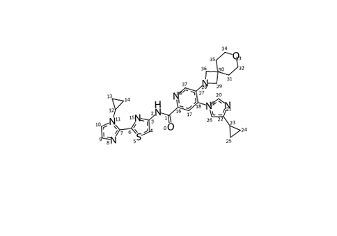 O=C(Nc1csc(-c2nccn2C2CC2)n1)c1cc(-n2cnc(C3CC3)c2)c(N2CC3(CCOCC3)C2)cn1